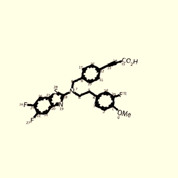 COc1ccc(CCN(Cc2ccc(C#CC(=O)O)cc2)c2nc3cc(F)c(F)cc3s2)cc1F